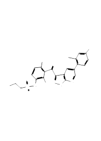 CCCS(=O)(=O)Nc1ccc(F)c(C(=O)c2n[nH]c3ncc(-c4ccc(F)cc4C)cc23)c1F